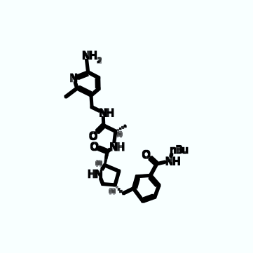 CCCCNC(=O)c1cccc(C[C@@H]2CN[C@@H](C(=O)N[C@@H](C)C(=O)NCc3ccc(N)nc3C)C2)c1